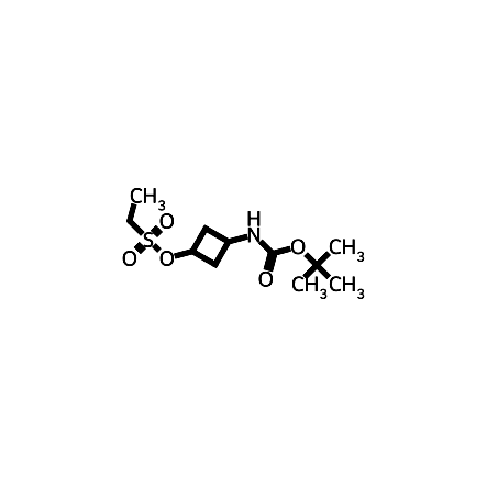 CCS(=O)(=O)OC1CC(NC(=O)OC(C)(C)C)C1